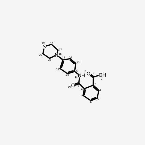 O=C(O)c1ccccc1C(=O)Nc1ccc(N2CCSCC2)cc1